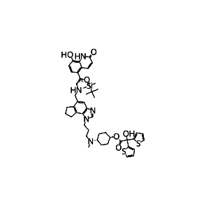 CN(CCCn1cnc2cc(CNC[C@H](O[Si](C)(C)C(C)(C)C)c3ccc(O)c4[nH]c(=O)ccc34)c3c(c21)CCC3)[C@H]1CC[C@H](OC(=O)C(O)(c2cccs2)c2cccs2)CC1